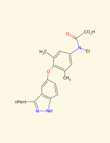 CCCCCc1n[nH]c2ccc(Oc3c(C)cc(N(CC)C(=O)C(=O)O)cc3C)cc12